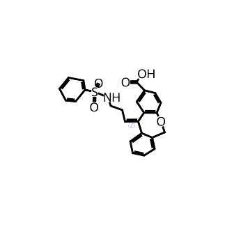 O=C(O)c1ccc2c(c1)/C(=C\CCNS(=O)(=O)c1ccccc1)c1ccccc1CO2